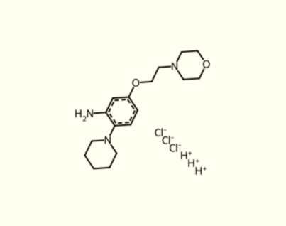 Nc1cc(OCCN2CCOCC2)ccc1N1CCCCC1.[Cl-].[Cl-].[Cl-].[H+].[H+].[H+]